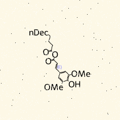 CCCCCCCCCCCCCC(=O)OC(=O)/C=C/c1cc(OC)c(O)c(OC)c1